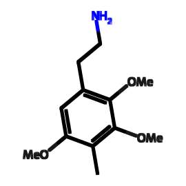 COc1cc(CCN)c(OC)c(OC)c1C